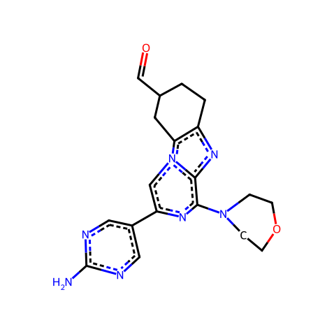 Nc1ncc(-c2cn3c4c(nc3c(N3CCOCC3)n2)CCC(C=O)C4)cn1